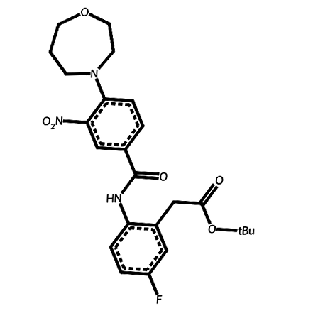 CC(C)(C)OC(=O)Cc1cc(F)ccc1NC(=O)c1ccc(N2CCCOCC2)c([N+](=O)[O-])c1